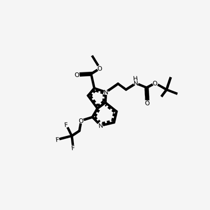 COC(=O)c1cc2c(OCC(F)(F)F)nccc2n1CCNC(=O)OC(C)(C)C